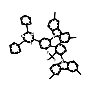 Cc1ccc2c(c1)c1cc(C)ccc1n2-c1cc(-c2nc(-c3ccccc3)nc(-c3ccccc3)n2)ccc1-c1cccc(-n2c3ccc(C)cc3c3cc(C)ccc32)c1C(F)(F)F